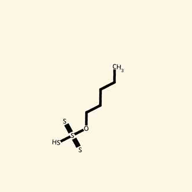 CCCCCOS(=S)(=S)S